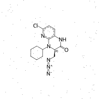 [N-]=[N+]=NC[C@@H]1C(=O)Nc2ccc(Cl)nc2N1C1CCCCC1